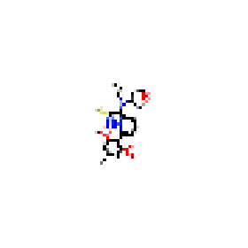 CCCN(c1c(SC)nn2c(-c3c(OC)cc(C)cc3OC)cccc12)C1CCOCC1